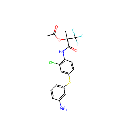 CC(=O)OC(C)(C(=O)Nc1ccc(Sc2cccc(N)c2)cc1Cl)C(F)(F)F